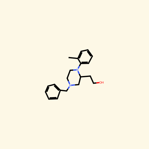 Cc1ccccc1N1CCN(Cc2ccccc2)CC1CCO